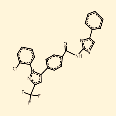 O=C(Nc1nc(-c2ccccc2)cs1)c1ccc(-c2cc(C(F)(F)F)nn2-c2ccccc2Cl)cc1